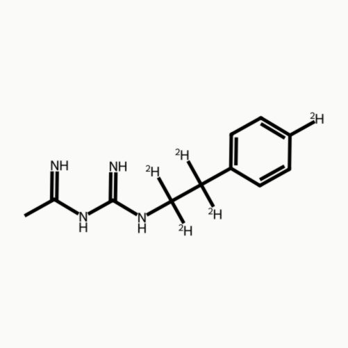 [2H]c1ccc(C([2H])([2H])C([2H])([2H])NC(=N)NC(C)=N)cc1